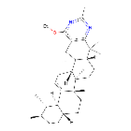 CCOc1nc(C)nc2c1C[C@]1(C)[C@H]3CC=C4[C@H]5[C@@H](CC[C@@H](C)[C@@H]5C)CC[C@@]4(C)[C@]3(C)CC[C@H]1C2(C)C